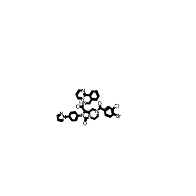 O=C(NCc1ccccc1-c1ncccn1)c1c2n(c(=O)n1-c1ccc(-n3cccn3)cc1)CCN(C(=O)c1ccc(Br)c(Cl)c1)C2